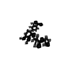 COc1ccc(-c2ccc3c(c2)COC3=O)c(OCC(C)(C)C(=O)O[C@H]2CCOC2)c1OC